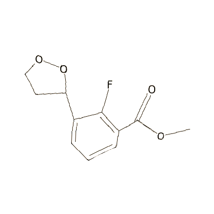 COC(=O)c1cccc(C2CCOO2)c1F